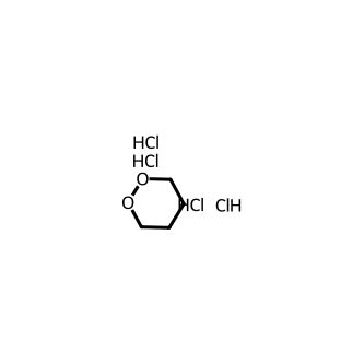 C1CCOOC1.Cl.Cl.Cl.Cl